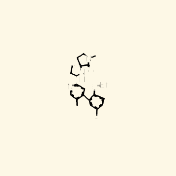 CCOc1ccc(F)cc1-c1cc([C@@H]2CC[C@@]3(CCN(C)C3=O)N2)ncc1C